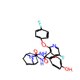 O=C(NC1CC2CCC(C1)N2C(=O)NCc1ccc(O)cc1)c1cc(F)cnc1Oc1ccc(F)cc1